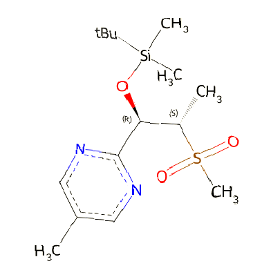 Cc1cnc([C@@H](O[Si](C)(C)C(C)(C)C)[C@H](C)S(C)(=O)=O)nc1